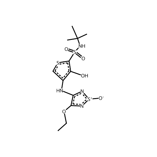 CCOc1n[s+]([O-])nc1Nc1csc(S(=O)(=O)NC(C)(C)C)c1O